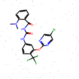 CN(C)c1ccccc1C(=O)NC(=O)Nc1ccc(C(F)(F)F)c(Oc2ncc(Br)cn2)c1